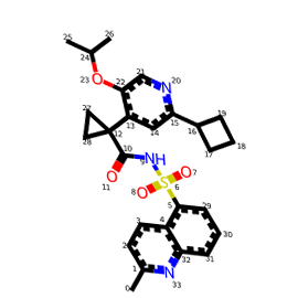 Cc1ccc2c(S(=O)(=O)NC(=O)C3(c4cc(C5CCC5)ncc4OC(C)C)CC3)cccc2n1